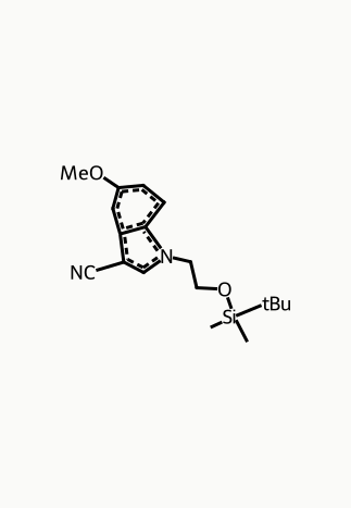 COc1ccc2c(c1)c(C#N)cn2CCO[Si](C)(C)C(C)(C)C